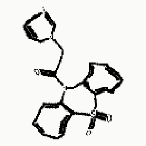 O=C(Cn1ccnc1)N1c2ccccc2S(=O)(=O)c2ccccc21